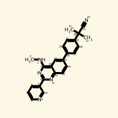 CNc1nc(-c2cccnc2)nc2ccc(-c3ccc(C(C)(C)C#N)cc3)cc12